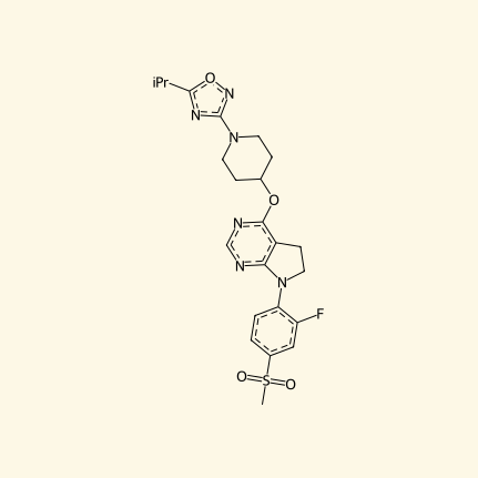 CC(C)c1nc(N2CCC(Oc3ncnc4c3CCN4c3ccc(S(C)(=O)=O)cc3F)CC2)no1